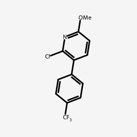 COc1ccc(-c2ccc(C(F)(F)F)cc2)c(Cl)n1